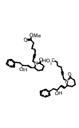 COC(=O)CCCC#CCN1C(=O)CCCC1/C=C/[C@H](O)Cc1ccccc1.O=C(O)CCCC#CCN1C(=O)CCCC1/C=C/[C@H](O)Cc1ccccc1